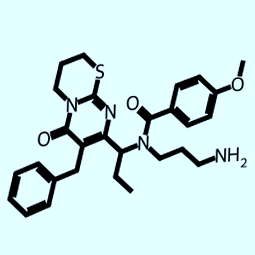 CCC(c1nc2n(c(=O)c1Cc1ccccc1)CCCS2)N(CCCN)C(=O)c1ccc(OC)cc1